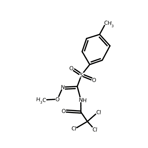 CON=C(NC(=O)C(Cl)(Cl)Cl)S(=O)(=O)c1ccc(C)cc1